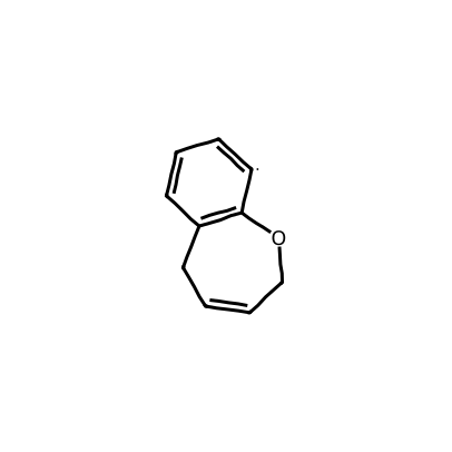 [c]1cccc2c1OCC=CC2